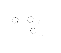 COc1cccc(N(CCNC(C)=O)c2cccc(OCc3ccccc3)c2)c1